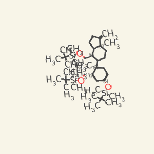 C=C1CCC2[C@H](CO[Si](C)(C)C(C)(C)C)C([C@@]3(C)CC[C@H](O[Si](C)(C)C(C)(C)C)C[C@@H]3CO[Si](C)(C)C(C)(C)C)CC[C@]12C